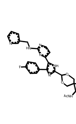 CC(=O)NCC1(C)COC(c2nc(-c3ccc(F)cc3)c(-c3ccnc(NCc4cccnc4)n3)[nH]2)OC1